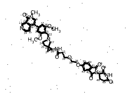 COc1cc(-c2cn(C)c(=O)c3cnccc23)cc(OC)c1CN1CCC2(C[C@@H]2NC(=O)CCOCCOc2ccc3c(c2)C(=O)N(C2CCC(=O)NC2=O)C3=O)C1